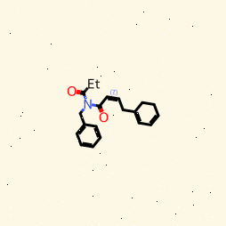 CCC(=O)N(Cc1ccccc1)C(=O)/C=C\CC1=CC=CCC1